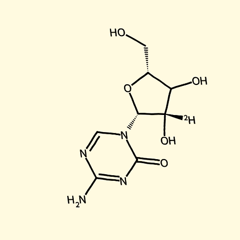 [2H][C@]1(O)C(O)[C@@H](CO)O[C@H]1n1cnc(N)nc1=O